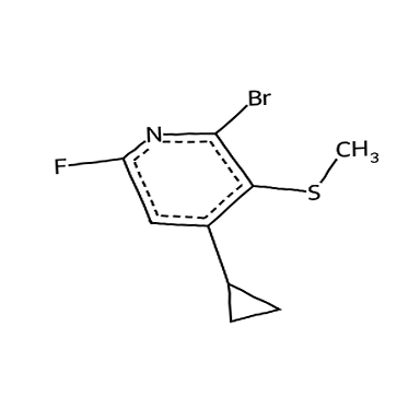 CSc1c(C2CC2)cc(F)nc1Br